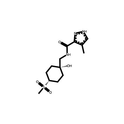 Cc1c[nH]nc1C(=O)NC[C@]1(O)CC[C@@H](S(C)(=O)=O)CC1